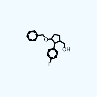 OCC1CCC(OCc2ccccc2)C1c1ccc(F)cc1